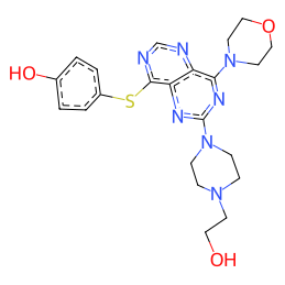 OCCN1CCN(c2nc(N3CCOCC3)c3ncnc(Sc4ccc(O)cc4)c3n2)CC1